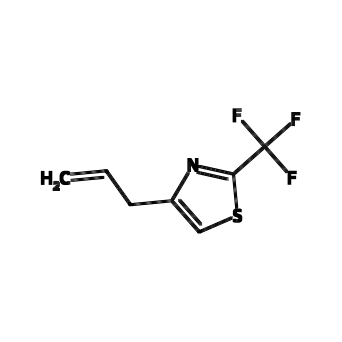 C=CCc1csc(C(F)(F)F)n1